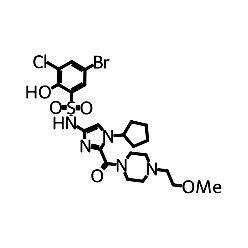 COCCN1CCN(C(=O)c2nc(NS(=O)(=O)c3cc(Br)cc(Cl)c3O)cn2C2CCCC2)CC1